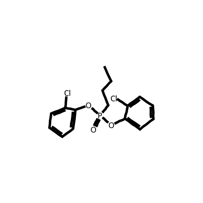 CCCCP(=O)(Oc1ccccc1Cl)Oc1ccccc1Cl